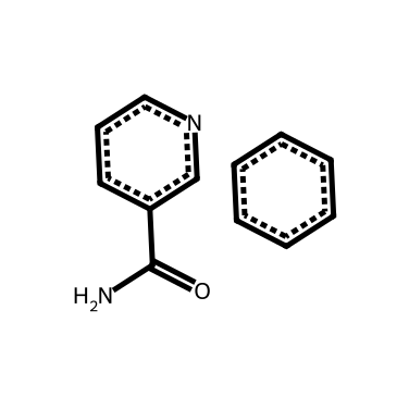 NC(=O)c1cccnc1.c1ccccc1